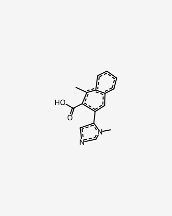 Cc1c(C(=O)O)c(-c2cncn2C)cc2ccccc12